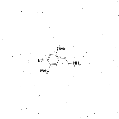 CCc1cc(OC)c(CCN)cc1OC